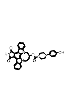 O=C1NC(=O)c2c1c1c3ccccc3n3c1c1c2c2ccccc2n1CC(OC(=O)N1CCN(c2ccc(O)cc2)CC1)CC3